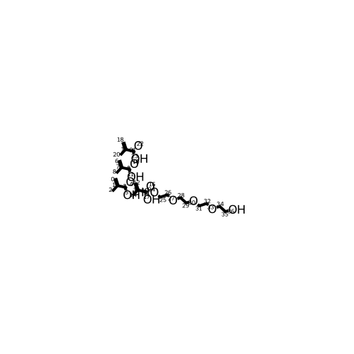 C=C(C)C(=O)O.C=C(C)C(=O)O.C=C(C)C(=O)O.C=C(C)C(=O)O.OCCOCCOCCOCCO